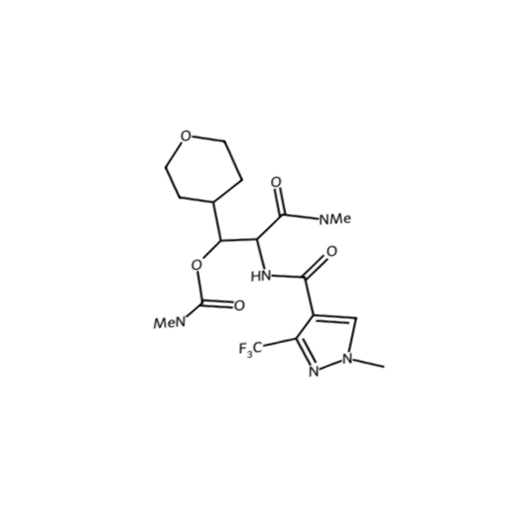 CNC(=O)OC(C1CCOCC1)C(NC(=O)c1cn(C)nc1C(F)(F)F)C(=O)NC